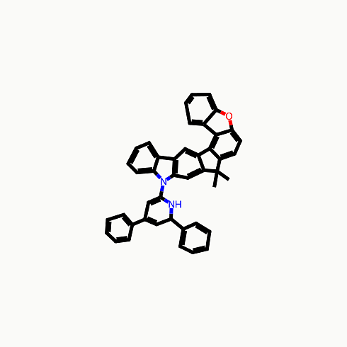 CC1(C)c2cc3c(cc2-c2c1ccc1oc4ccccc4c21)c1ccccc1n3C1=CC(c2ccccc2)=CC(c2ccccc2)N1